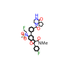 CNC(=O)c1c(-c2ccc(F)cc2)oc2cc(N(CCF)S(C)(=O)=O)c(-c3cccc(C(=O)N4CCNC(=O)C45CCCC5)c3)cc12